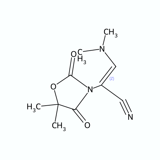 CN(C)/C=C(/C#N)N1C(=O)OC(C)(C)C1=O